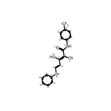 N#C/C(C(=O)Nc1ccc(C(F)(F)F)cc1)=C(O)\C=C\[Se]c1ccccc1